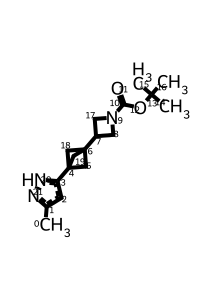 Cc1cc(C23CC(C4CN(C(=O)OC(C)(C)C)C4)(C2)C3)[nH]n1